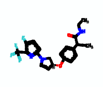 CCNC(=O)C(C)c1ccc(O[C@@H]2CCN(c3ccc(F)c(C(F)(F)F)n3)C2)cc1